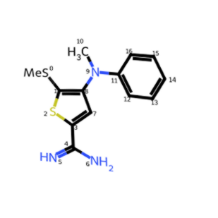 CSc1sc(C(=N)N)cc1N(C)c1ccccc1